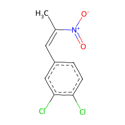 CC(=Cc1ccc(Cl)c(Cl)c1)[N+](=O)[O-]